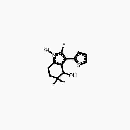 [2H]n1c(F)c(-c2cccs2)c2c1CCC(F)(F)C2O